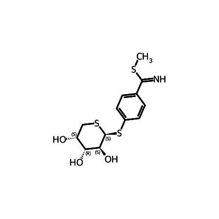 CSC(=N)c1ccc(S[C@@H]2SC[C@@H](O)[C@@H](O)[C@@H]2O)cc1